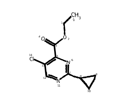 CCOC(=O)c1nc(C2CC2)ncc1Cl